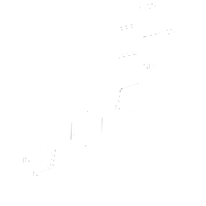 COc1cccc(NC2CCN(c3ccc(-c4cn[nH]c4)cc3)C2=O)c1OC